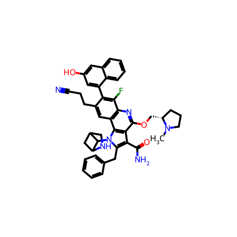 CN1CCC[C@H]1COc1nc2c(F)c(-c3cc(O)cc4ccccc34)c(CCC#N)cc2c2c1c(C(N)=O)c(Cc1ccccc1)n2C1C2CNC1C2